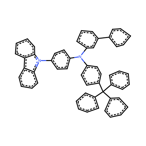 c1ccc(-c2cccc(N(c3ccc(-n4c5ccccc5c5ccccc54)cc3)c3ccc(C(c4ccccc4)(c4ccccc4)c4ccccc4)cc3)c2)cc1